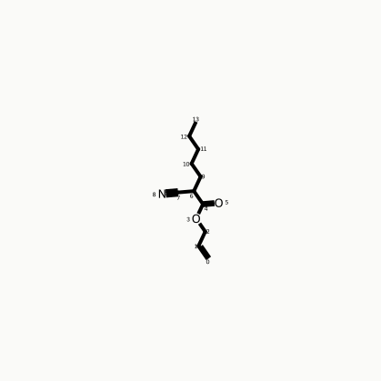 C=CCOC(=O)C(C#N)CCCCC